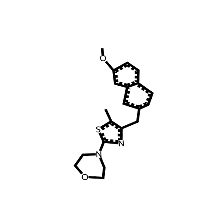 COc1ccc2ccc(Cc3nc(N4CCOCC4)sc3C)cc2c1